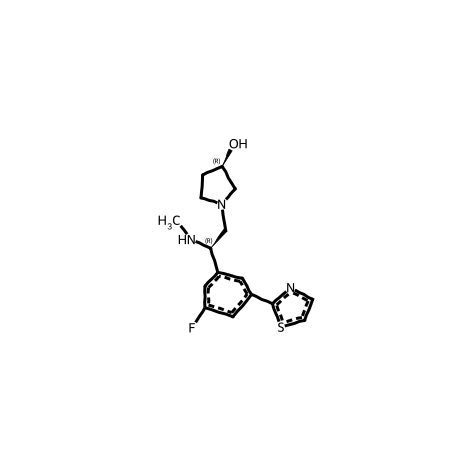 CN[C@@H](CN1CC[C@@H](O)C1)c1cc(F)cc(-c2nccs2)c1